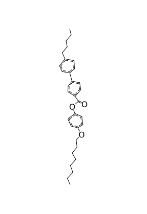 CCCCCCCCOc1ccc(OC(=O)c2ccc(-c3ccc(CCCCC)cc3)cc2)cc1